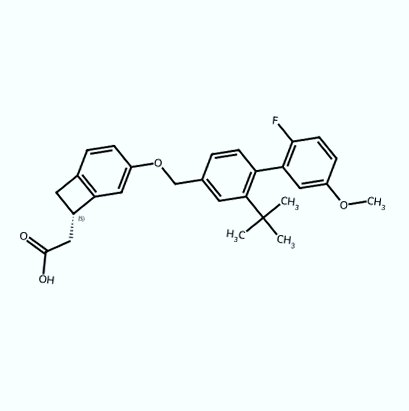 COc1ccc(F)c(-c2ccc(COc3ccc4c(c3)[C@H](CC(=O)O)C4)cc2C(C)(C)C)c1